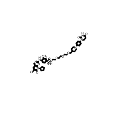 Cc1cc(S(=O)(=O)NCCOCCOCCOCC2CCN(c3ccc(N4CCC(=O)NC4=O)cc3)CC2)ccc1Nc1ncc2cc(Cl)c(=O)n(C3CCCC3)c2n1